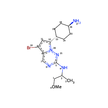 COCC(C)Nc1ncc2c(Br)cc([C@H]3CC[C@H](N)CC3)n2n1